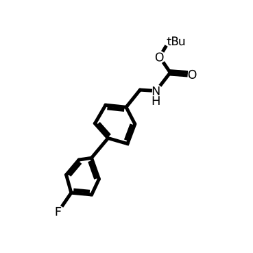 CC(C)(C)OC(=O)NCc1ccc(-c2ccc(F)cc2)cc1